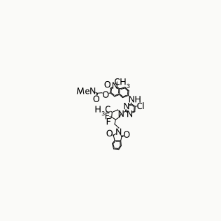 CNC(=O)COc1cc2cc(Nc3nc(N4CC(C)C(F)(F)C(CCN5C(=O)c6ccccc6C5=O)C4)ncc3Cl)ccc2n(C)c1=O